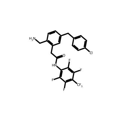 NCc1ccc(Cc2ccc(Cl)cc2)cc1CC(=O)Nc1c(F)c(F)c(C(F)(F)F)c(F)c1F